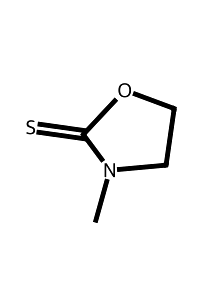 CN1CCOC1=S